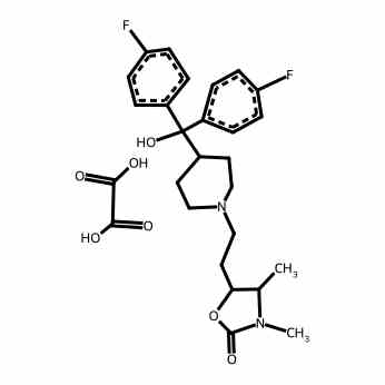 CC1C(CCN2CCC(C(O)(c3ccc(F)cc3)c3ccc(F)cc3)CC2)OC(=O)N1C.O=C(O)C(=O)O